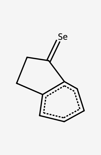 [Se]=C1CCc2ccccc21